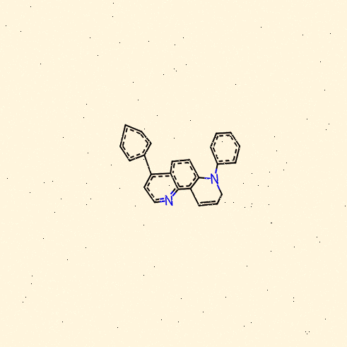 C1=Cc2c(ccc3c(-c4ccccc4)ccnc23)N(c2ccccc2)C1